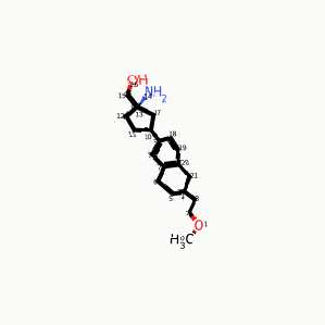 COCCC1CCc2cc(C3CC[C@](N)(CO)C3)ccc2C1